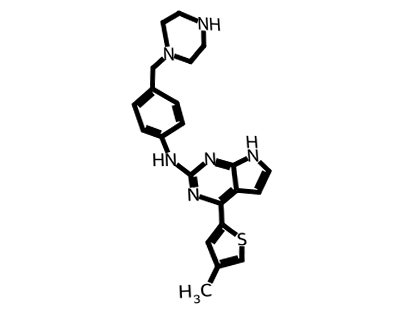 Cc1csc(-c2nc(Nc3ccc(CN4CCNCC4)cc3)nc3[nH]ccc23)c1